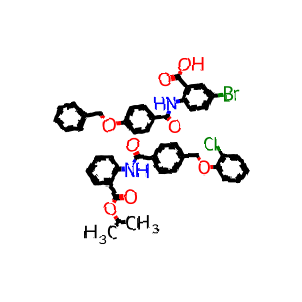 CC(C)OC(=O)c1ccccc1NC(=O)c1ccc(COc2ccccc2Cl)cc1.O=C(Nc1ccc(Br)cc1C(=O)O)c1ccc(OCc2ccccc2)cc1